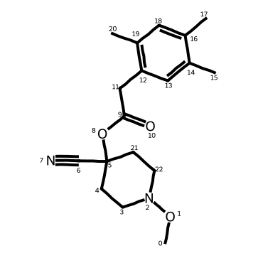 CON1CCC(C#N)(OC(=O)Cc2cc(C)c(C)cc2C)CC1